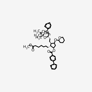 COC(=O)CCCCCC[C@H]1[C@@H](OC(=O)c2ccc(-c3ccccc3)cc2)CC(OC2CCCCO2)[C@@H]1CC[C@@H](COc1ccccc1)O[Si](C)(C)C(C)(C)C